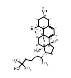 CC(SCCC(C)(C)O)[C@H]1CC[C@H]2C3=CC=C4C[C@@H](O)C[C@H](O)[C@]4(C)[C@H]3CC[C@]12C